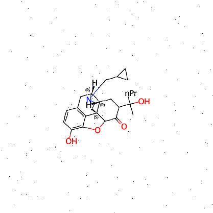 CCCC(C)(O)C1C[C@H]2[C@H]3Cc4ccc(O)c5c4[C@@]2(CCN3CC2CC2)C(O5)C1=O